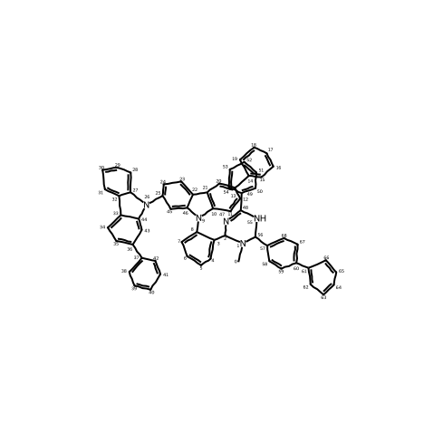 CN1C(c2ccccc2-n2c3ccc(-c4ccccc4)cc3c3ccc(-n4c5ccccc5c5ccc(-c6ccccc6)cc54)cc32)N=C(c2ccccc2)NC1c1ccc(-c2ccccc2)cc1